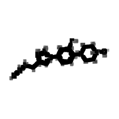 [N-]=[N+]=NCc1cn(-c2ccc(N3CC[S+]([O-])CC3)c(F)c2)nn1